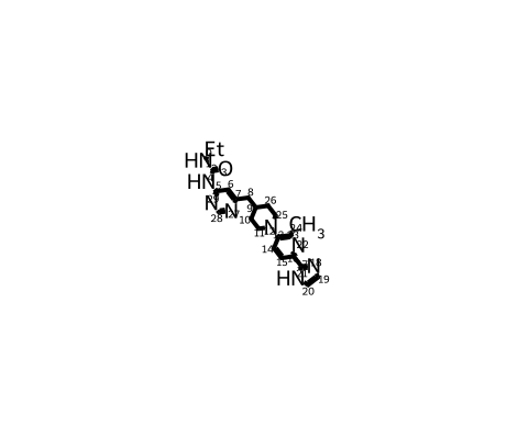 CCNC(=O)Nc1cc(CC2CCN(c3ccc(-c4ncc[nH]4)nc3C)CC2)ncn1